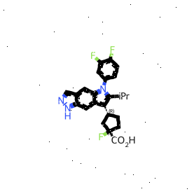 CC(C)c1c([C@@H]2CC[C@@](F)(C(=O)O)C2)c2cc3[nH]ncc3cc2n1-c1ccc(F)c(F)c1